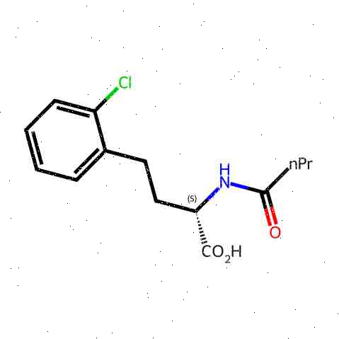 CCCC(=O)N[C@@H](CCc1ccccc1Cl)C(=O)O